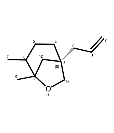 C=CC[C@@]12CCC(C)C(C)(C1)OC2